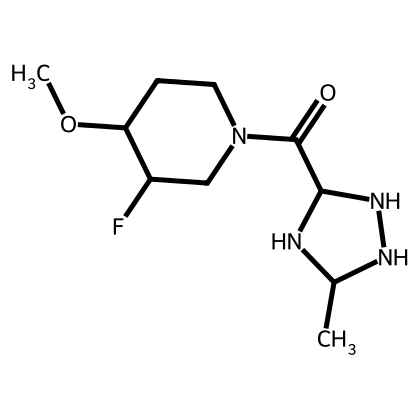 COC1CCN(C(=O)C2NNC(C)N2)CC1F